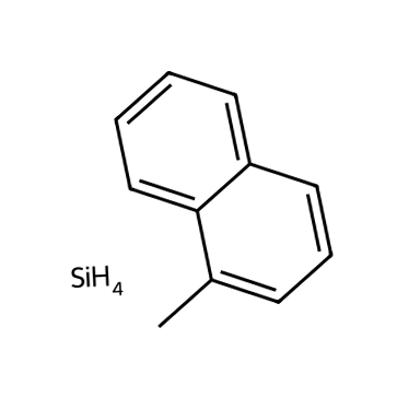 Cc1cccc2ccccc12.[SiH4]